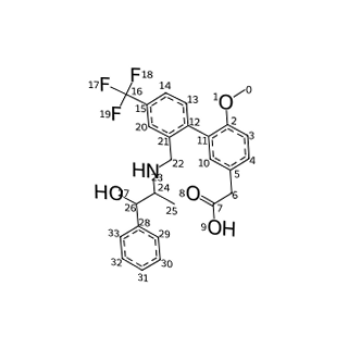 COc1ccc(CC(=O)O)cc1-c1ccc(C(F)(F)F)cc1CNC(C)C(O)c1ccccc1